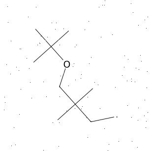 [CH2]CC(C)(C)COC(C)(C)C